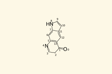 O=C1CC=Nc2cc3[nH]ccc3cc21